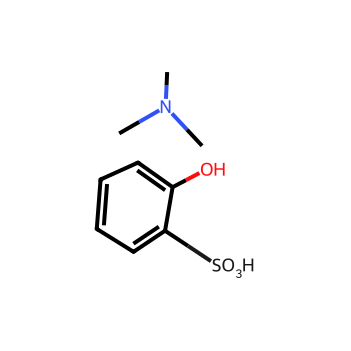 CN(C)C.O=S(=O)(O)c1ccccc1O